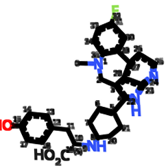 CN1Cc2c(C3=CCC(N[C@@H](Cc4ccc(O)cc4)C(=O)O)CC3)[nH]c3nccc(c23)-c2cc(F)ccc21